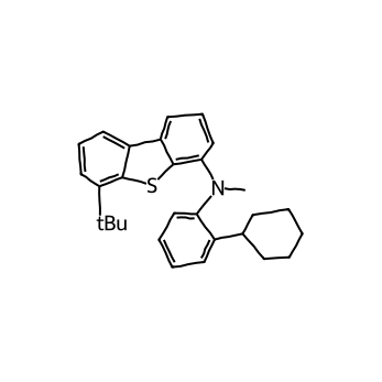 CN(c1ccccc1C1CCCCC1)c1cccc2c1sc1c(C(C)(C)C)cccc12